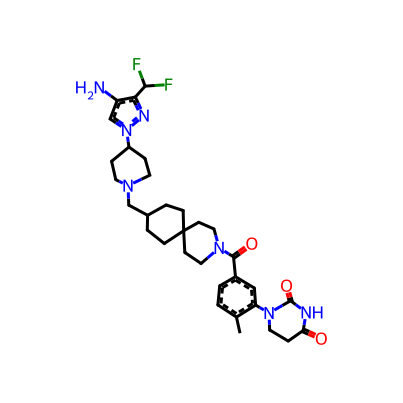 Cc1ccc(C(=O)N2CCC3(CCC(CN4CCC(n5cc(N)c(C(F)F)n5)CC4)CC3)CC2)cc1N1CCC(=O)NC1=O